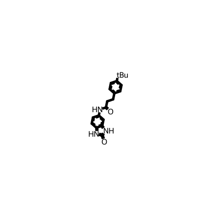 CC(C)(C)c1ccc(CCC(=O)Nc2ccc3[nH]c(=O)[nH]c3c2)cc1